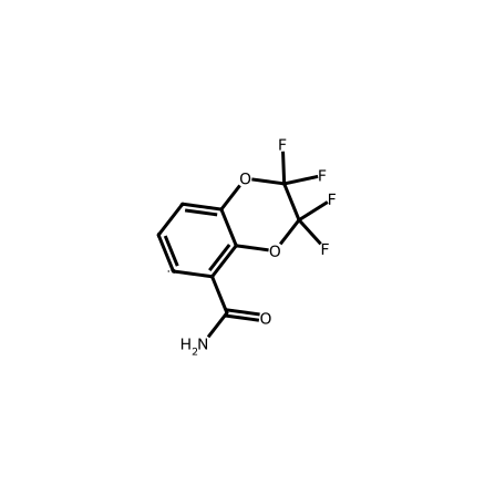 NC(=O)c1[c]ccc2c1OC(F)(F)C(F)(F)O2